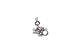 COc1ccc(C2OCC3O[C@@H]4C/C=C\CO[C@H](C4n4cc(C)c(=O)[nH]c4=O)[C@@H]3O2)cc1